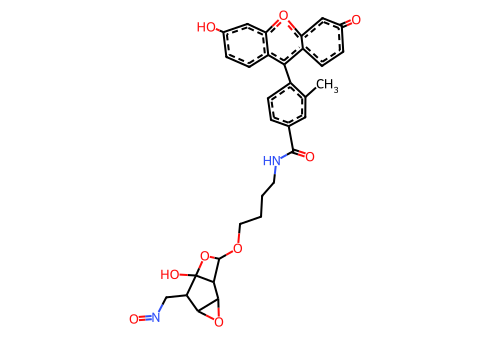 Cc1cc(C(=O)NCCCCOC2OC3(O)C(CN=O)C4OC4C23)ccc1-c1c2ccc(=O)cc-2oc2cc(O)ccc12